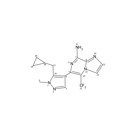 Cn1ncc(-c2nc(N)c3nccn3c2C(F)(F)F)c1CC1CC1